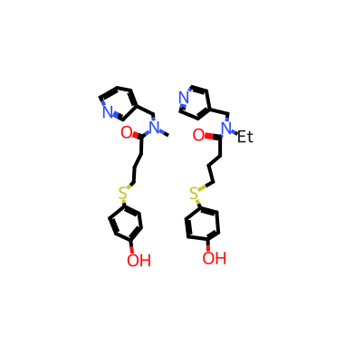 CCN(Cc1ccncc1)C(=O)CCCSc1ccc(O)cc1.CN(Cc1cccnc1)C(=O)CCCSc1ccc(O)cc1